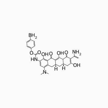 Bc1ccc(OC(=O)Nc2cc(N(C)C)c3c(c2O)C(=O)C2=C(O)C4C(=O)C(C(=C)N)=C(O)C[C@@H]4C[C@@H]2C3)cc1